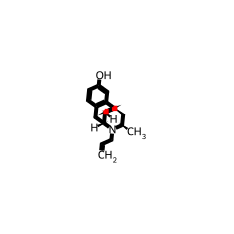 C=CCN1[C@H](C)C[C@]23CCCC[C@H]2[C@H]1Cc1ccc(O)cc13